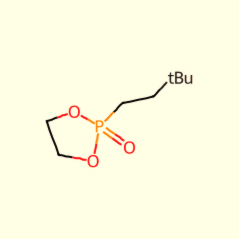 CC(C)(C)CCP1(=O)OCCO1